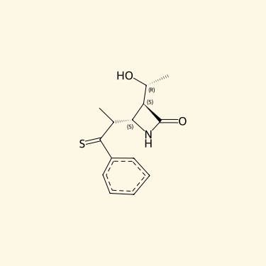 CC(C(=S)c1ccccc1)[C@H]1NC(=O)[C@@H]1[C@@H](C)O